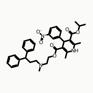 CC1=C(C(=O)OCCN(C)CCC(c2ccccc2)c2ccccc2)C(c2cccc([N+](=O)[O-])c2)C(C(=O)OC(C)C)=C(C)N1